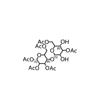 CC(=O)OCC1O[C@@H](O[C@@H]2C(COC(C)=O)O[C@@H](OC(C)=O)C(OC(C)=O)C2OC(C)=O)C(O)C(OC(C)=O)[C@@H]1O